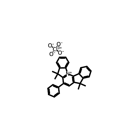 CC1(C)c2ccccc2-c2c1cc(-c1ccccc1)c1[n+]2-c2ccccc2C1(C)C.[O-][Cl+3]([O-])([O-])[O-]